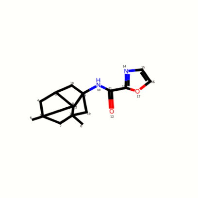 CC12CC3CC(C)(C1)CC(NC(=O)c1ncco1)(C3)C2